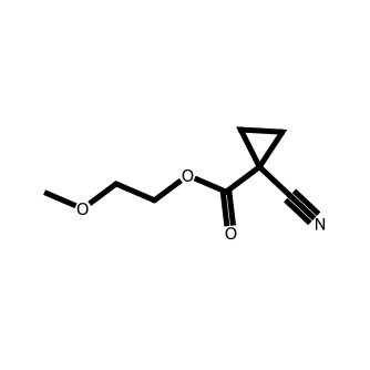 COCCOC(=O)C1(C#N)CC1